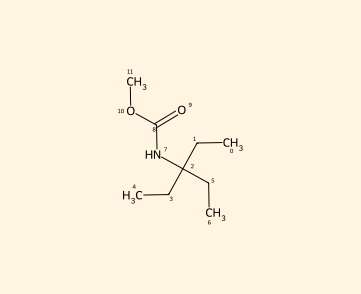 CCC(CC)(CC)NC(=O)OC